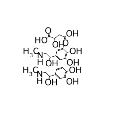 CNC[C@H](O)c1ccc(O)c(O)c1.CNC[C@H](O)c1ccc(O)c(O)c1.O=C(O)CC(O)C(=O)O